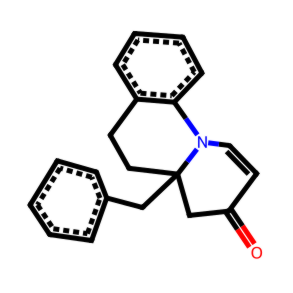 O=C1C=CN2c3ccccc3CCC2(Cc2ccccc2)C1